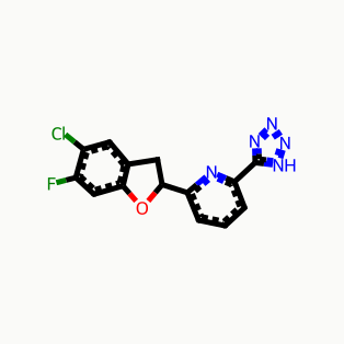 Fc1cc2c(cc1Cl)CC(c1cccc(-c3nnn[nH]3)n1)O2